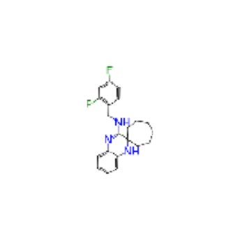 Fc1ccc(CNC2=Nc3ccccc3NC23CCCCCC3)c(F)c1